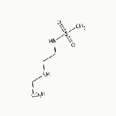 CS(=O)(=O)NCCNCC(=O)O